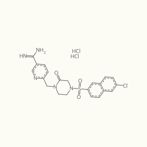 Cl.Cl.N=C(N)c1ccc(CN2CCN(S(=O)(=O)c3ccc4cc(Cl)ccc4c3)CC2=O)nc1